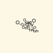 CCCNC(=O)CN(Cc1ccccc1)C(=O)[S@]1(CO)[C@@H]2CC(=O)N2[C@@H](C(=O)OCc2ccccc2)C1(C)C